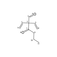 C=CC([C]=O)(C=C)C(=O)CCC